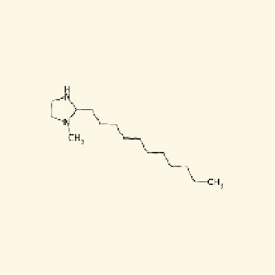 CCCCCCCCCCCC1NCCN1C